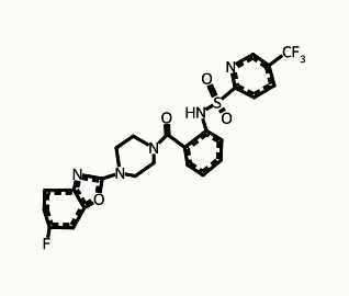 O=C(c1ccccc1NS(=O)(=O)c1ccc(C(F)(F)F)cn1)N1CCN(c2nc3ccc(F)cc3o2)CC1